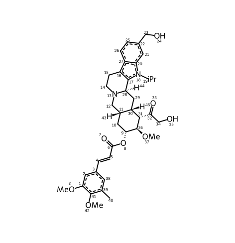 COc1cc(/C=C/C(=O)O[C@@H]2C[C@@H]3CN4CCc5c(n(C(C)C)c6cc(CO)ccc56)[C@H]4C[C@@H]3[C@H](C(=O)CO)[C@H]2OC)cc(C)c1OC